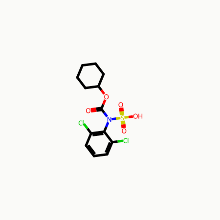 O=C(OC1CCCCC1)N(c1c(Cl)cccc1Cl)S(=O)(=O)O